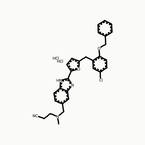 CN(CCC#N)Cc1ccc2[nH]c(-c3ccc(Cc4cc(Cl)ccc4OCc4ccccc4)o3)nc2c1.Cl.Cl